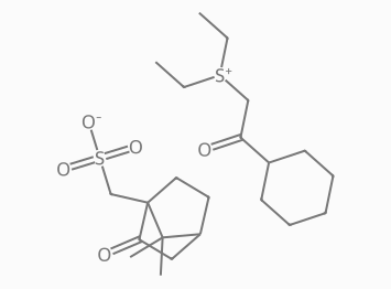 CC1(C)C2CCC1(CS(=O)(=O)[O-])C(=O)C2.CC[S+](CC)CC(=O)C1CCCCC1